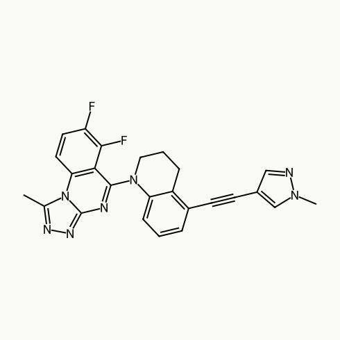 Cc1nnc2nc(N3CCCc4c(C#Cc5cnn(C)c5)cccc43)c3c(F)c(F)ccc3n12